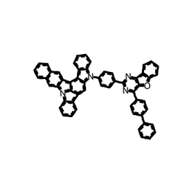 c1ccc(-c2ccc(-c3nc(-c4ccc(-n5c6ccccc6c6c7c8cc9ccccc9cc8n8c9ccccc9c(cc65)c78)cc4)nc4c3oc3ccccc34)cc2)cc1